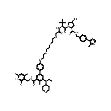 CCN(c1cc(-c2ccc(OCCOCCOCCOCC(=O)N[C@H](C(=O)N3CC(O)C[C@H]3C(=O)NCc3ccc(-c4scnc4C)cc3)C(C)(C)C)cc2)cc(C(=O)NCc2c(C)cc(C)[nH]c2=O)c1C)C1CCOCC1